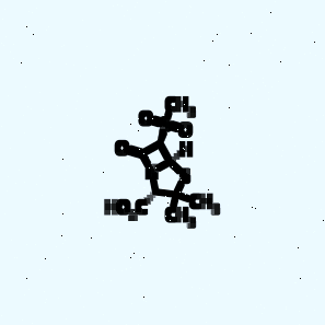 CC1(C)S[C@@H]2[C@H](S(C)(=O)=O)C(=O)N2[C@H]1C(=O)O